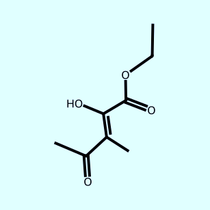 CCOC(=O)/C(O)=C(\C)C(C)=O